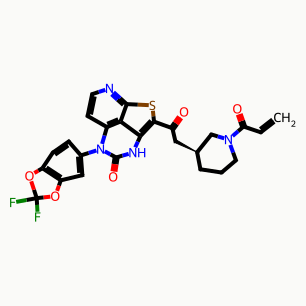 C=CC(=O)N1CCC[C@@H](CC(=O)c2sc3nccc4c3c2NC(=O)N4c2ccc3c(c2)OC(F)(F)O3)C1